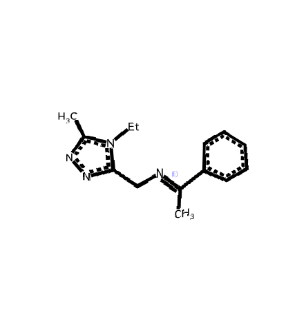 CCn1c(C)nnc1C/N=C(\C)c1ccccc1